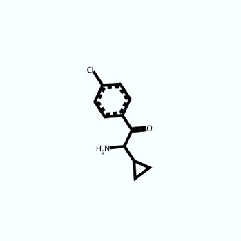 NC(C(=O)c1ccc(Cl)cc1)C1CC1